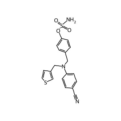 N#Cc1ccc(N(Cc2ccc(OS(N)(=O)=O)cc2)Cc2ccsc2)cc1